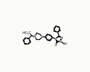 CC(C)n1nc(-c2ccccc2)n(-c2ccc(N3CCN(C(C(=O)O)c4ccccc4)CC3)cc2)c1=O